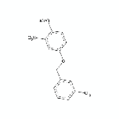 COc1ccc(OCc2cccc(C(F)(F)F)c2)cc1[N+](=O)[O-]